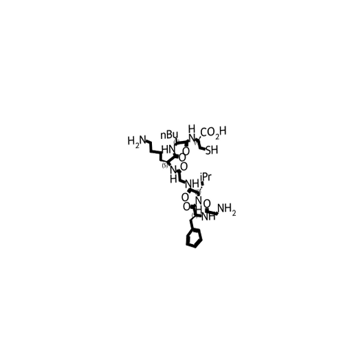 CCCC[C@H](NC(=O)[C@H](CCCCN)NC(=O)CNC(=O)[C@H](CC(C)C)NC(=O)[C@H](Cc1ccccc1)NC(=O)CN)C(=O)N[C@@H](CS)C(=O)O